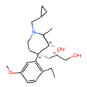 CCc1ccc(OC)cc1[C@@]1(C[C@H](O)CO)CCN(CC2CC2)C(C)[C@@H]1C